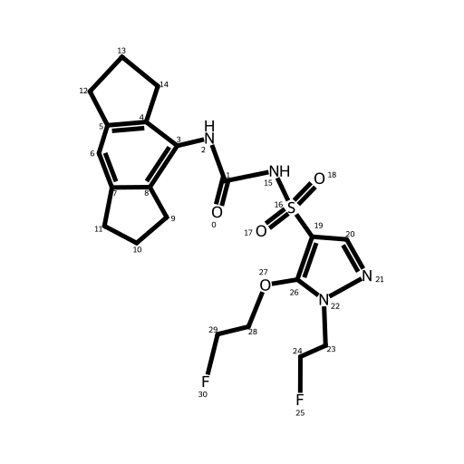 O=C(Nc1c2c(cc3c1CCC3)CCC2)NS(=O)(=O)c1cnn(CCF)c1OCCF